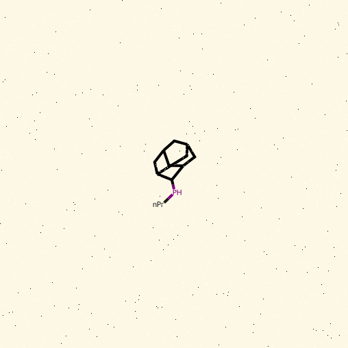 CCCPC1C2CC3CC(C2)CC1C3